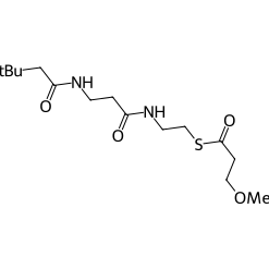 COCCC(=O)SCCNC(=O)CCNC(=O)CC(C)(C)C